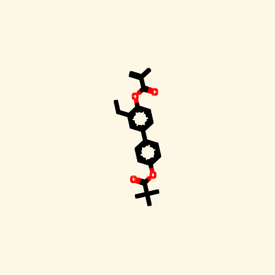 C=C(C)C(=O)Oc1ccc(-c2ccc(OC(=O)C(C)(C)C)cc2)cc1CC